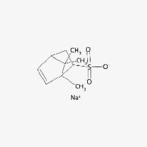 CC1(C)C2C=CC1(C)C(S(=O)(=O)[O-])C2.[Na+]